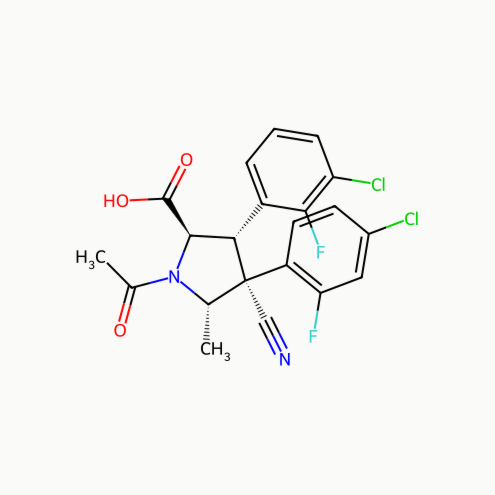 CC(=O)N1[C@@H](C)[C@](C#N)(c2ccc(Cl)cc2F)[C@@H](c2cccc(Cl)c2F)[C@@H]1C(=O)O